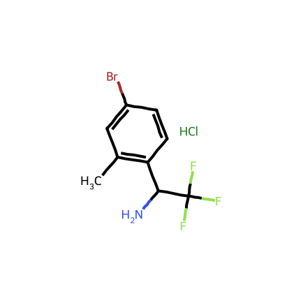 Cc1cc(Br)ccc1C(N)C(F)(F)F.Cl